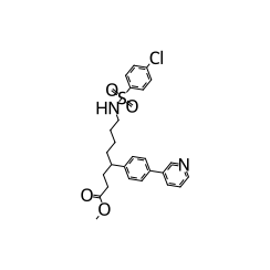 COC(=O)CCC(CCCCNS(=O)(=O)c1ccc(Cl)cc1)c1ccc(-c2cccnc2)cc1